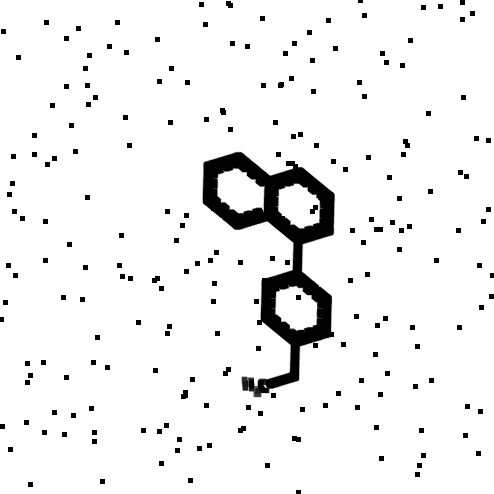 CCc1ccc(-c2cccc3ccccc23)cc1